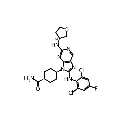 NC(=O)[C@H]1CC[C@@H](n2c(Nc3c(Cl)cc(F)cc3Cl)nc3cnc(N[C@H]4CCOC4)nc32)CC1